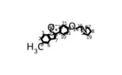 Cc1ccc2c(c1)cc(-c1ccc(OCCN3CCCC3)cc1)[s+]2[O-]